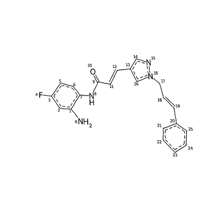 Nc1cc(F)ccc1NC(=O)/C=C/c1cnn(CC=Cc2ccccc2)c1